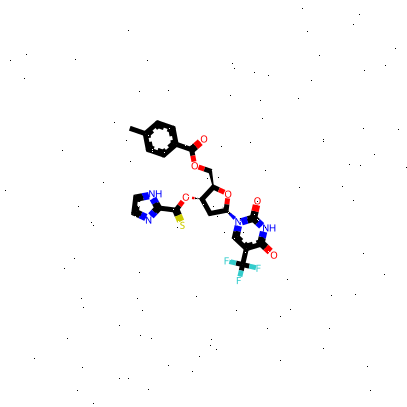 Cc1ccc(C(=O)OC[C@H]2O[C@@H](n3cc(C(F)(F)F)c(=O)[nH]c3=O)C[C@@H]2OC(=S)c2ncc[nH]2)cc1